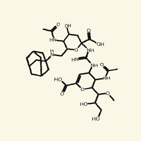 COC(C(O)CO)C1OC(C(=O)O)=CC(NC(=N)NC2(C(=O)O)CC(O)C(NC(C)=O)C(CNC34CC5CC(CC(C5)C3)C4)O2)C1NC(C)=O